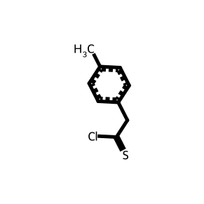 Cc1ccc(CC(=S)Cl)cc1